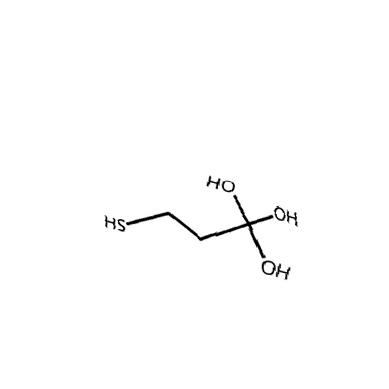 OC(O)(O)CCS